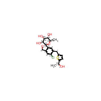 C[C@@H](O)c1ccc(Cc2cc3c(cc2Cl)CO[C@]32O[C@H](C)[C@@H](O)[C@H](O)[C@H]2O)s1